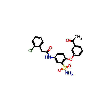 CC(=O)c1cccc(Oc2ccc(NC(=O)Cc3ccccc3Cl)cc2S(N)(=O)=O)c1